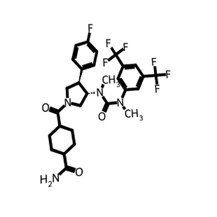 CN(C(=O)N(C)[C@@H]1CN(C(=O)C2CCC(C(N)=O)CC2)C[C@H]1c1ccc(F)cc1)c1cc(C(F)(F)F)cc(C(F)(F)F)c1